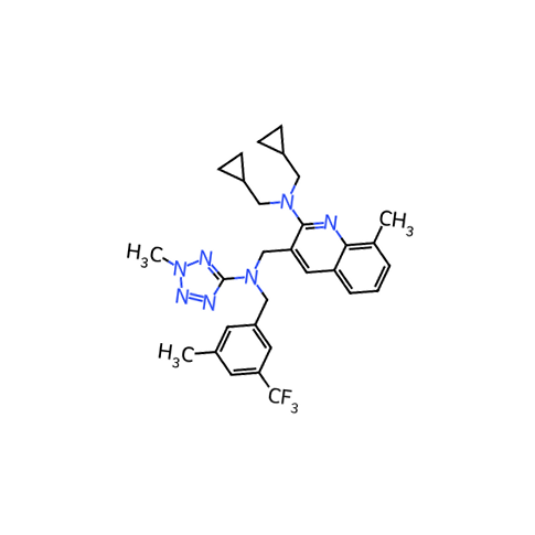 Cc1cc(CN(Cc2cc3cccc(C)c3nc2N(CC2CC2)CC2CC2)c2nnn(C)n2)cc(C(F)(F)F)c1